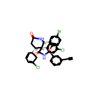 C#Cc1cccc(Oc2ccc(Br)cc2[C@H]2NC(=O)C[C@@H](C3C=CC=C(Cl)C3)[C@]23C(=O)Nc2cc(Cl)ccc23)c1